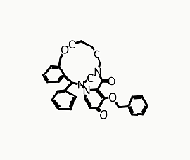 O=C1c2c(OCc3ccccc3)c(=O)ccn2N2CN1CCCCCOCc1ccccc1C2c1ccccc1